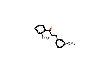 COc1cccc(/C=C/C(=O)c2ccccc2C(=O)O)c1